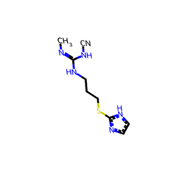 C/N=C(\NC#N)NCCCSc1ncc[nH]1